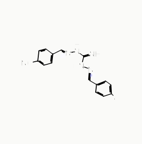 N#Cc1ccc(/C=N/NC(=N)N/N=C/c2ccc(Cl)cc2)cc1